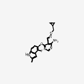 Cc1cc2c(F)c(Oc3ncnc(N)c3/C=N/OCC3CC3)ccc2[nH]1